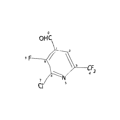 O=Cc1cc(C(F)(F)F)nc(Cl)c1F